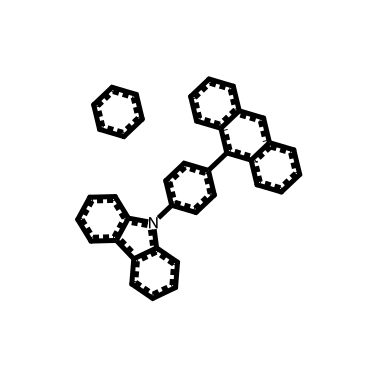 c1ccc2c(-c3ccc(-n4c5ccccc5c5ccccc54)cc3)c3ccccc3cc2c1.c1ccccc1